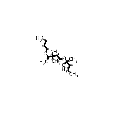 C=C(OCCCC)C(C)(C)CCOC(C)(C)CCC